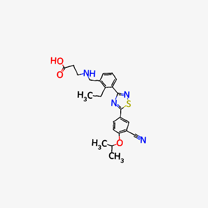 CCc1c(CNCCC(=O)O)cccc1-c1nsc(-c2ccc(OC(C)C)c(C#N)c2)n1